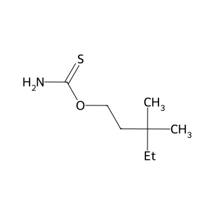 CCC(C)(C)CCOC(N)=S